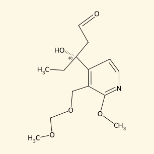 CC[C@@](O)(CC=O)c1ccnc(OC)c1COCOC